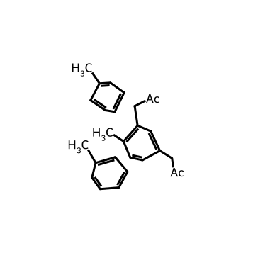 CC(=O)Cc1ccc(C)c(CC(C)=O)c1.Cc1ccccc1.Cc1ccccc1